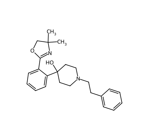 CC1(C)COC(c2ccccc2C2(O)CCN(CCc3ccccc3)CC2)=N1